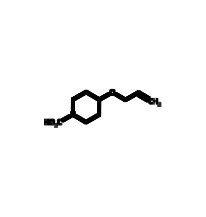 C=CCOC1CCN(C(=O)O)CC1